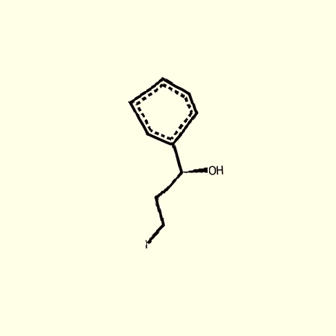 O[C@@H](CCI)c1ccccc1